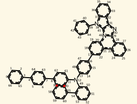 c1ccc(-c2ccc(-c3ccc(N(c4ccc(-c5ccc6c(c5)c5ccccc5c5nc7c8ccccc8n(-c8ccccc8)c7n65)cc4)c4ccccc4-c4ccccc4)cc3)cc2)cc1